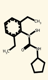 CCc1cccc(CC)c1N(S)C(=O)NC1CCCC1